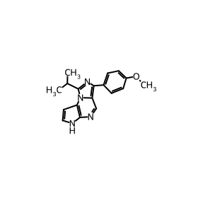 COc1ccc(-c2nc(C(C)C)n3c2cnc2[nH]ccc23)cc1